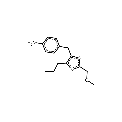 CCCc1nc(COC)sc1Cc1ccc(N)cc1